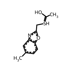 CC(O)=[SH]Cc1nc2cc(C)ccc2o1